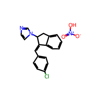 Clc1ccc(/C=C2\c3ccccc3CC2n2ccnc2)cc1.O=[N+]([O-])O